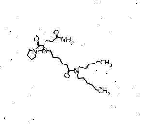 CCCCCCN(CCCCCC)C(=O)CCCCCN[C@@H](CCC(N)=O)C(=O)N1CCCC1